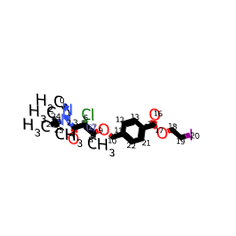 C=NN(C(=O)/C(Cl)=C(\C)OCc1ccc(C(=O)OCCI)cc1)C(C)(C)C